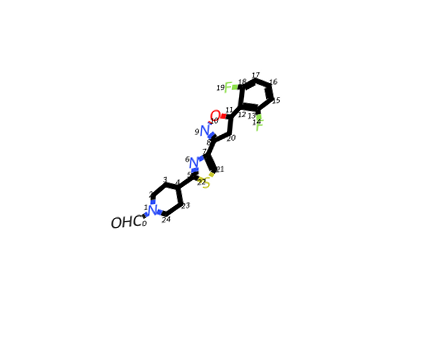 O=CN1CCC(c2nc(C3=NOC(c4c(F)cccc4F)C3)cs2)CC1